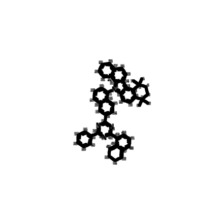 CC1(C)CCC(C)(C)c2c1ccc1c2c2ccc3ccccc3c2n1-c1cccc2cc(-c3nc(-c4ccccc4)nc(-c4cccc5c4=CCCC=5)n3)ccc12